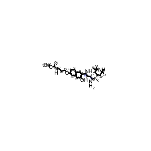 CN(/C(N)=C/C=C(\N)c1cc2ccc(OCCCNC(=O)OC(C)(C)C)cc2cc1O)C1CC(C)(C)NC(C)(C)C1